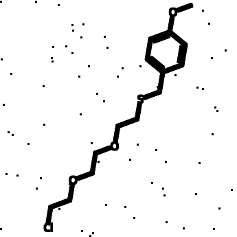 COc1ccc(CSCCOCCOCCCl)cc1